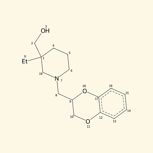 CCC1(CO)CCCN(CC2COc3ccccc3O2)C1